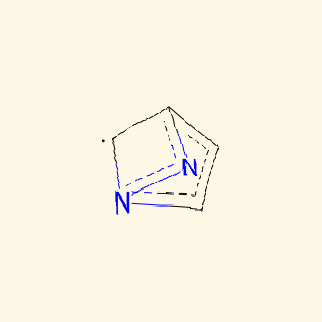 [CH]1c2ccn1n2